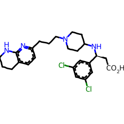 O=C(O)C[C@H](NC1CCN(CCCc2ccc3c(n2)NCCC3)CC1)c1cc(Cl)cc(Cl)c1